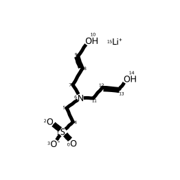 O=S(=O)([O-])CCN(CC=CO)CC=CO.[Li+]